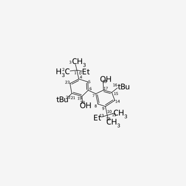 CCC(C)(C)c1cc(-c2cc(C(C)(C)CC)cc(C(C)(C)C)c2O)c(O)c(C(C)(C)C)c1